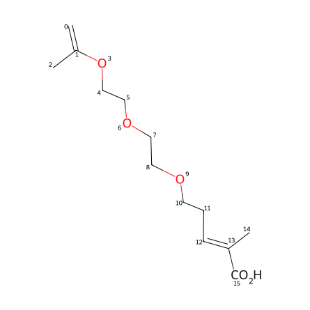 C=C(C)OCCOCCOCCC=C(C)C(=O)O